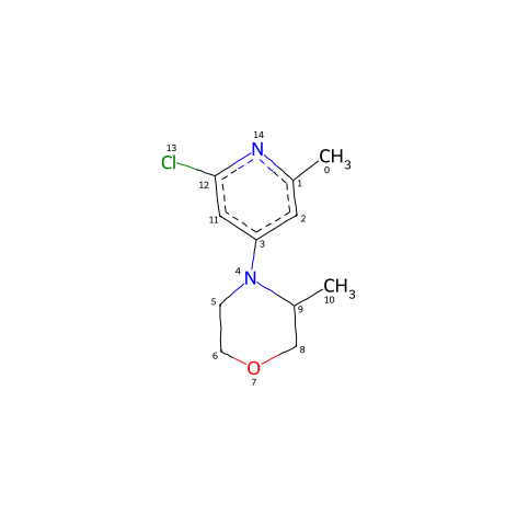 Cc1cc(N2CCOCC2C)cc(Cl)n1